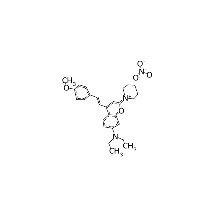 CCN(CC)c1ccc2c(/C=C/c3ccc(OC)cc3)cc(=[N+]3CCCCC3)oc2c1.O=[N+]([O-])[O-]